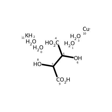 O.O.O.O.O=C(O)C(O)C(O)C(=O)O.[Cu].[KH]